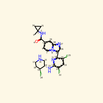 CC1(NC(=O)c2ccn3c(-c4nc(N[C@H]5CNCC[C@@H]5F)c(F)cc4F)cnc3c2)CC1